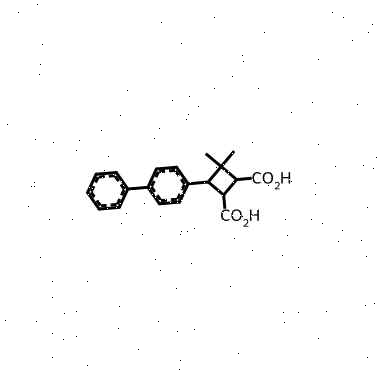 CC1(C)C(C(=O)O)C(C(=O)O)C1c1ccc(-c2ccccc2)cc1